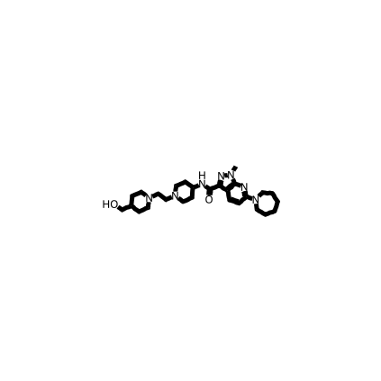 Cn1nc(C(=O)NC2CCN(CCN3CCC(CO)CC3)CC2)c2ccc(N3CCCCCC3)nc21